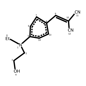 CCN(CCO)c1ccc(C=C(C#N)C#N)cc1